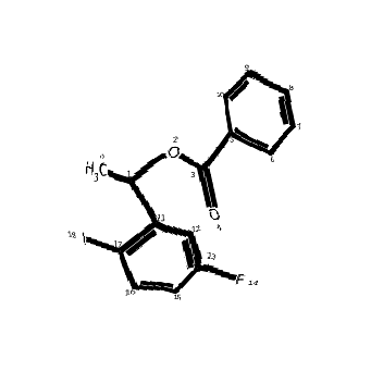 CC(OC(=O)c1ccccc1)c1cc(F)ccc1I